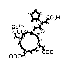 O=C([O-])CN1CCN(CC(=O)[O-])CCN(CC(=O)N(CC(=O)O)C2CCCC2)CCN(CC(=O)[O-])CC1.[Gd+3]